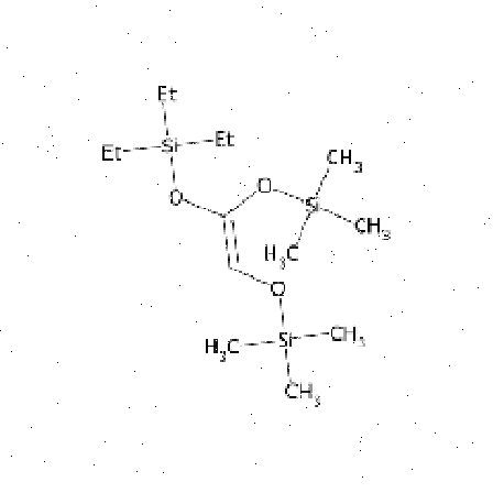 CC[Si](CC)(CC)O/C(=C/O[Si](C)(C)C)O[Si](C)(C)C